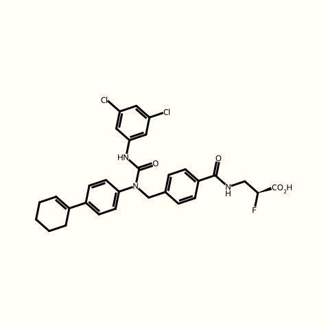 O=C(NC[C@H](F)C(=O)O)c1ccc(CN(C(=O)Nc2cc(Cl)cc(Cl)c2)c2ccc(C3=CCCCC3)cc2)cc1